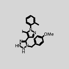 COc1ccc(CN2NNN=C2c2cnn(-c3ccccc3C)c2I)cc1